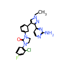 CCn1cc(C2C=CC=C(N3CCN(c4ccc(F)cc4Cl)C3=O)C2)c(-c2ccnc(N)n2)n1